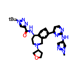 Cn1cc(Nc2nccc(-c3ccc4c(c3)CN([C@H]3CCOC3)CC[C@H]4NC(=O)c3cn(C(C)(C)C)nn3)n2)cn1